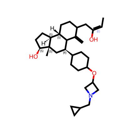 C=C1C(C/C(O)=C\C)CC[C@@H]2C1[C@@H](C1CCC(OC3CN(CC4CC4)C3)CC1)C[C@]1(C)[C@@H](O)CC[C@@H]21